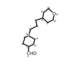 O=CC1CCN(CCCC2CCOCC2)CC1